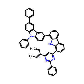 C=C/C(=C\C)c1cc(-c2cccc3c2[nH]c2c(-c4ccc5c(c4)c4cc(-c6ccccc6)ccc4n5-c4ccccc4)cccc23)nc(-c2ccccc2)n1